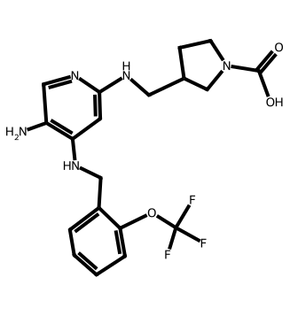 Nc1cnc(NCC2CCN(C(=O)O)C2)cc1NCc1ccccc1OC(F)(F)F